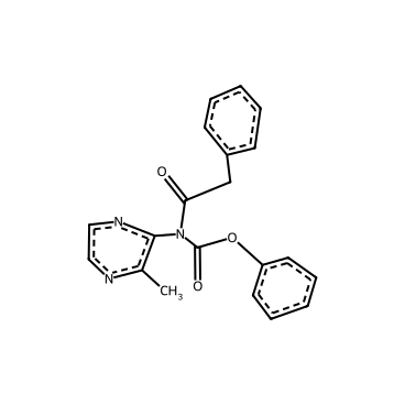 Cc1nccnc1N(C(=O)Cc1ccccc1)C(=O)Oc1ccccc1